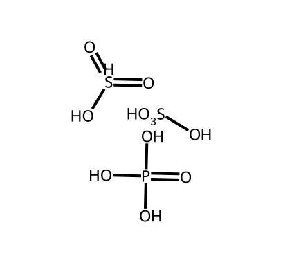 O=P(O)(O)O.O=S(=O)(O)O.O=[SH](=O)O